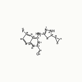 O=Cc1nc(NC2=NNC(C3CC3)C2)c2cc(F)ccc2n1